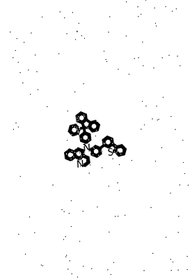 c1ccc(C2(c3ccc(N(c4cccc(-c5cccc6c5sc5ccccc56)c4)c4cc5ccccc5c5ncccc45)cc3)c3ccccc3-c3ccccc32)cc1